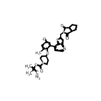 Cc1cc(Cl)cc(-c2ccnc3cc(CN4C(=O)C5CCCC5C4=O)sc23)c1OC1CCN(C(=O)OC(C)(C)C)CC1